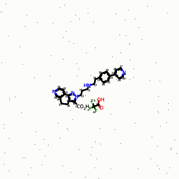 O=C(O)C(F)(F)F.O=C(O)c1c2c(nn1CCCNCCc1ccc(-c3ccncc3)cc1)-c1ccncc1CC2